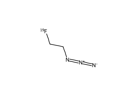 [N-]=[N+]=NCC[19F]